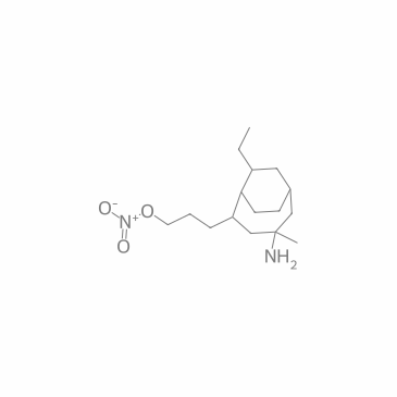 CCC1CC2CCC1C(CCCO[N+](=O)[O-])CC(C)(N)C2